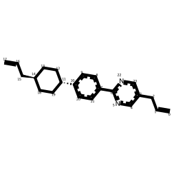 C=CCc1cnc(-c2ccc([C@H]3CC[C@H](CC=C)CC3)cc2)nc1